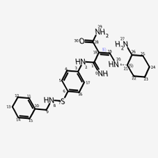 N=C(Nc1ccc(SNCC2=CCCC=C2)cc1)/C(=C\N[C@H]1CCCCC1N)C(N)=O